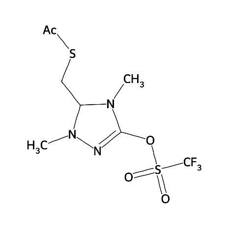 CC(=O)SCC1N(C)N=C(OS(=O)(=O)C(F)(F)F)N1C